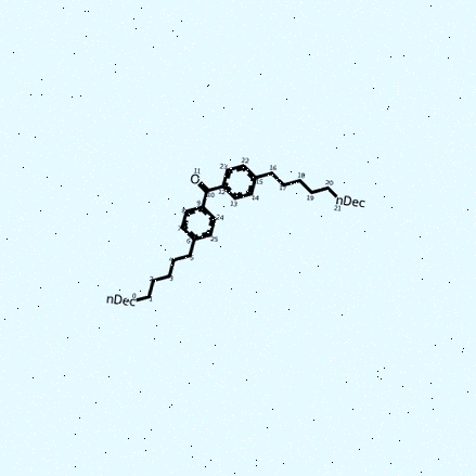 CCCCCCCCCCCCCCCc1ccc(C(=O)c2ccc(CCCCCCCCCCCCCCC)cc2)cc1